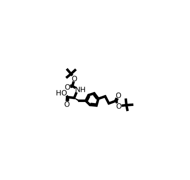 CC(C)(C)OC(=O)CCc1ccc(C[C@H](NC(=O)OC(C)(C)C)C(=O)O)cc1